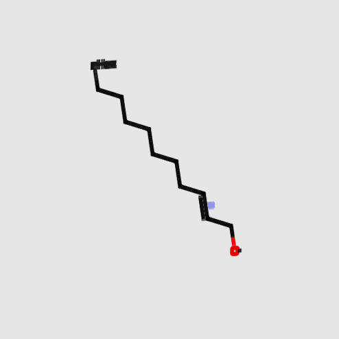 CCCCCCCCCCCCC/C=C/C[O]